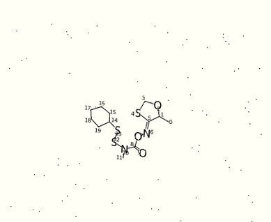 CC1OCSC1=NOC(=O)N(C)SSC1CCCCC1